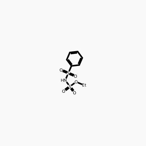 CCOS(=O)(=O)NS(=O)(=O)c1ccccc1